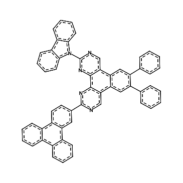 c1ccc(-c2cc3c(cc2-c2ccccc2)c2cnc(-n4c5ccccc5c5ccccc54)nc2c2nc(-c4ccc5c6ccccc6c6ccccc6c5c4)ncc32)cc1